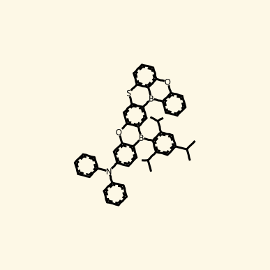 CC(C)c1cc(C(C)C)c(B2c3ccc(N(c4ccccc4)c4ccccc4)cc3Oc3cc4c(cc32)B2c3ccccc3Oc3cccc(c32)S4)c(C(C)C)c1